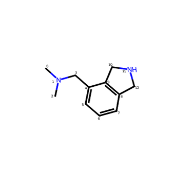 CN(C)Cc1cccc2c1CNC2